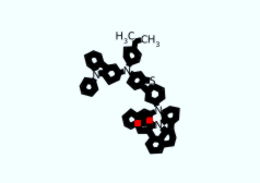 CC(C)c1ccc(N(c2ccc3c(c2)sc2ccc(N(c4ccc5ccccc5c4)c4cccc5c6ccc7cccc8c9ccccc9n(c45)c6c78)cc23)c2ccc3c(c2)c2ccccc2n3-c2ccccc2)cc1